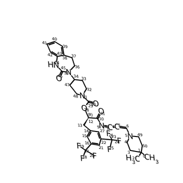 CC1(C)CCN(C=C=C=NC(=O)[C@@H](Cc2cc(C(F)(F)F)cc(C(F)(F)F)c2)OC(=O)N2CCC(N3CCc4ccccc4NC3=O)CC2)CC1